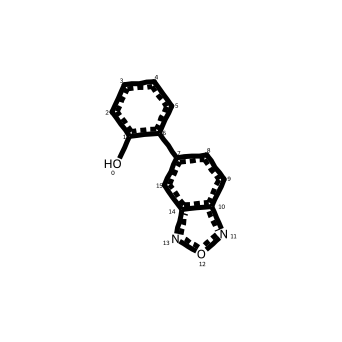 Oc1ccccc1-c1ccc2nonc2c1